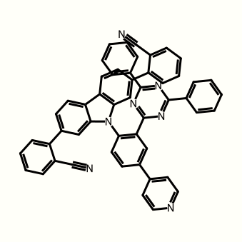 N#Cc1ccccc1-c1ccc2c3ccc(-c4ccccc4C#N)cc3n(-c3ccc(-c4ccncc4)cc3-c3nc(-c4ccccc4)nc(-c4ccccc4)n3)c2c1